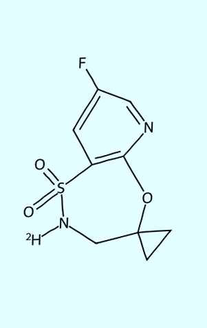 [2H]N1CC2(CC2)Oc2ncc(F)cc2S1(=O)=O